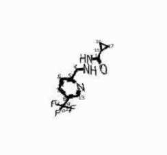 O=C(NNCc1ccc(C(F)(F)F)cn1)C1CC1